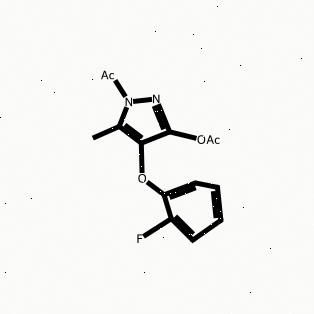 CC(=O)Oc1nn(C(C)=O)c(C)c1Oc1ccccc1F